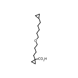 O=C(O)C1(CCCCOCCCCCC2CC2)CC1